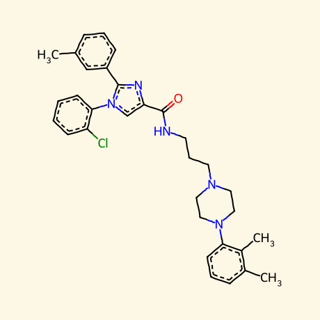 Cc1cccc(-c2nc(C(=O)NCCCN3CCN(c4cccc(C)c4C)CC3)cn2-c2ccccc2Cl)c1